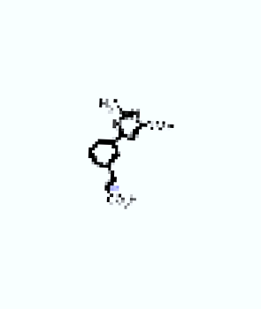 CNc1cc(-c2cccc(/C=C/C(=O)O)c2)nc(N)n1